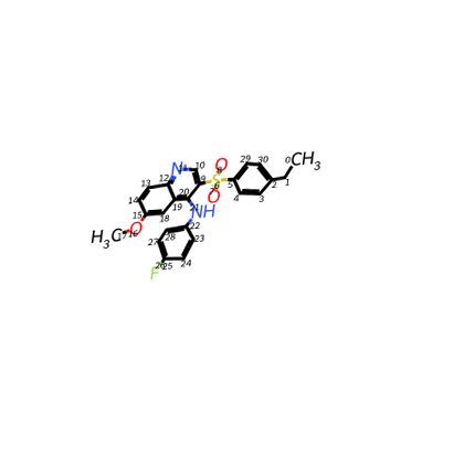 CCc1ccc(S(=O)(=O)c2cnc3ccc(OC)cc3c2Nc2ccc(F)cc2)cc1